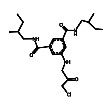 CCC(C)CNC(=O)c1cc(NCC(=O)CCl)cc(C(=O)NCC(C)CC)c1